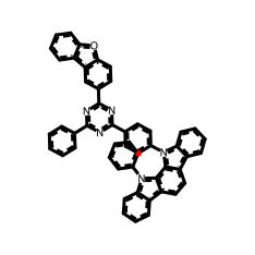 c1ccc(-c2nc(-c3ccc(-n4c5ccccc5c5ccc6c7ccccc7n(-c7ccccc7)c6c54)cc3)nc(-c3ccc4oc5ccccc5c4c3)n2)cc1